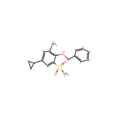 CS(=O)(=O)c1cc(C2CC2)cc([N+](=O)[O-])c1OCc1ccccc1